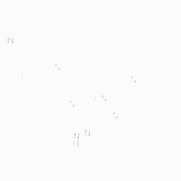 c1cc(-c2cncc3[nH]c(-c4n[nH]c5ccc(-c6cncc(OC7CCNCC7)c6)nc45)nc23)cs1